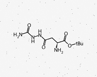 CC(C)(C)OC(=O)[C@@H](N)CC(=O)NNC(N)=O